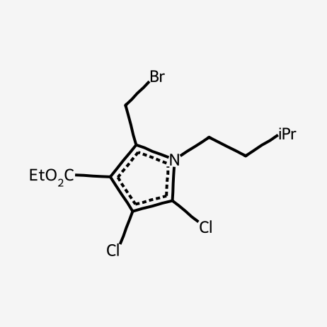 CCOC(=O)c1c(Cl)c(Cl)n(CCC(C)C)c1CBr